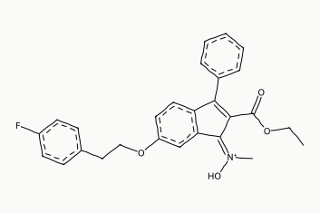 CCOC(=O)C1=C(c2ccccc2)c2ccc(OCCc3ccc(F)cc3)cc2/C1=[N+](/C)O